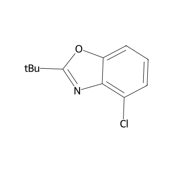 CC(C)(C)c1nc2c(Cl)cccc2o1